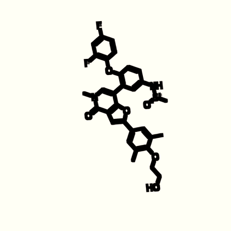 Cc1cc(-c2cc3c(=O)n(C)cc(-c4cc(N[S+](C)[O-])ccc4Oc4ccc(F)cc4F)c3o2)cc(C)c1OCCO